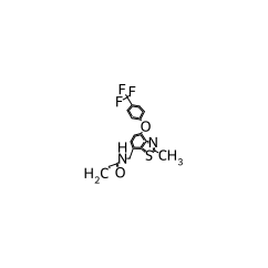 C=CC(=O)NCc1ccc(Oc2ccc(C(F)(F)F)cc2)c2nc(C)sc12